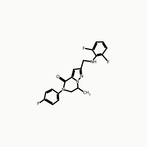 CC1CN(c2ccc(F)cc2)C(=O)c2cc(CNc3c(F)cccc3F)nn21